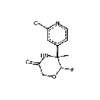 CC1(c2ccnc(Cl)c2)NC(=O)COC1F